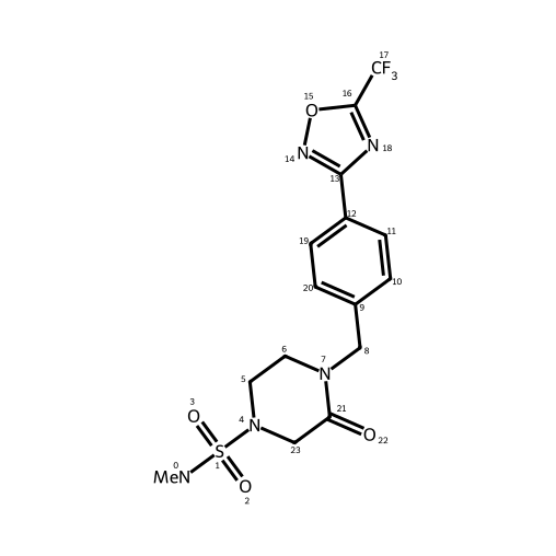 CNS(=O)(=O)N1CCN(Cc2ccc(-c3noc(C(F)(F)F)n3)cc2)C(=O)C1